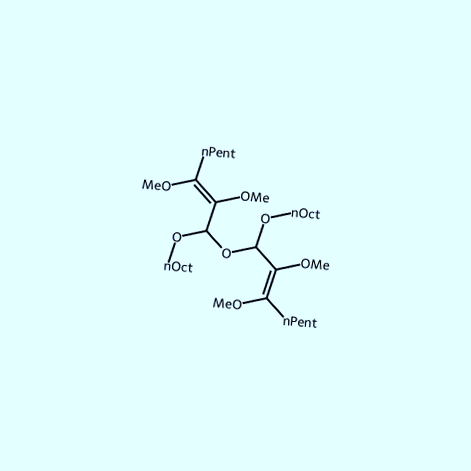 CCCCCCCCOC(OC(OCCCCCCCC)C(OC)=C(CCCCC)OC)C(OC)=C(CCCCC)OC